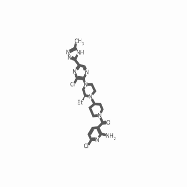 CC[C@H]1CN(c2ncc(-c3nnc(C)[nH]3)nc2Cl)CCN1C1CCN(C(=O)c2ccc(Cl)nc2N)CC1